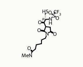 CNC(=O)CCCCCN1C(=O)CC(C(=O)[C@H](CS)NS(=O)(=O)C(F)(F)F)C1=O